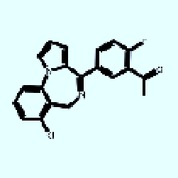 CC(=O)c1cc(C2=NCc3c(Cl)cccc3-n3cccc32)ccc1F